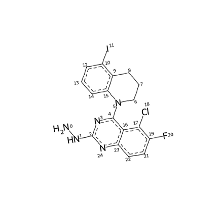 NNc1nc(N2CCCc3c(I)cccc32)c2c(Cl)c(F)ccc2n1